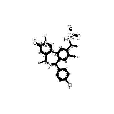 CC1N=C(c2ccc(Cl)cc2)c2cc(F)c(C(C)N[SH](=O)=O)cc2-c2cn(C)c(=O)cc21